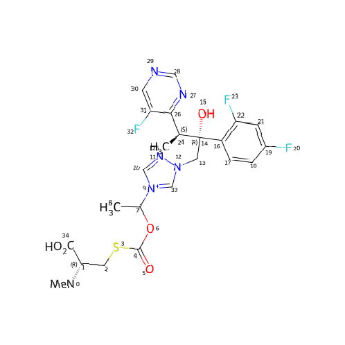 CN[C@@H](CSC(=O)OC(C)[n+]1cnn(C[C@](O)(c2ccc(F)cc2F)[C@@H](C)c2ncncc2F)c1)C(=O)O